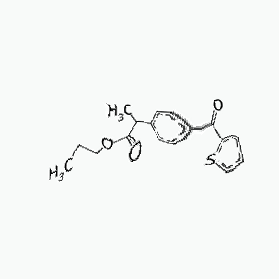 CCCOC(=O)C(C)c1ccc(C(=O)c2cccs2)cc1